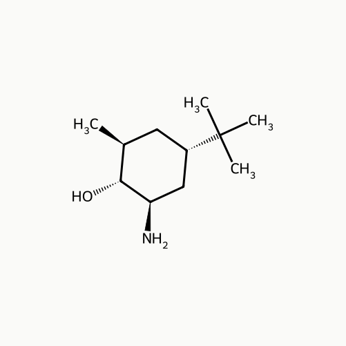 C[C@H]1C[C@H](C(C)(C)C)C[C@@H](N)[C@@H]1O